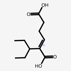 CCC(CC)/C(=C\CCC(=O)O)C(=O)O